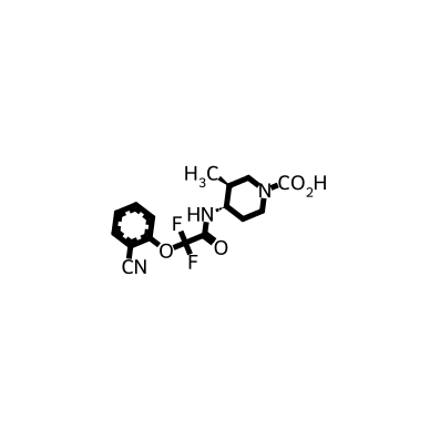 C[C@H]1CN(C(=O)O)CC[C@@H]1NC(=O)C(F)(F)Oc1ccccc1C#N